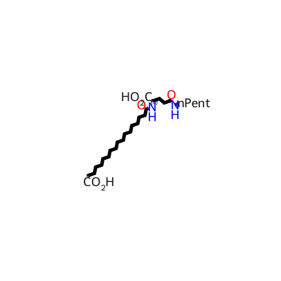 CCCCCNC(=O)CC[C@H](NC(=O)CCCCCCCCCCCCCCCCC(=O)O)C(=O)O